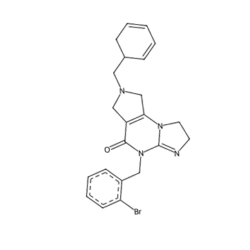 O=C1C2=C(CN(CC3C=CC=CC3)C2)N2CCN=C2N1Cc1ccccc1Br